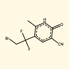 Cc1[nH]c(=O)c(C#N)cc1C(F)(F)CBr